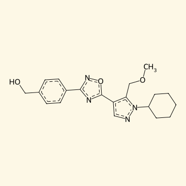 COCc1c(-c2nc(-c3ccc(CO)cc3)no2)cnn1C1CCCCC1